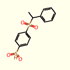 CC(c1ccccc1)S(=O)(=O)c1ccc([SH](=O)=O)cc1